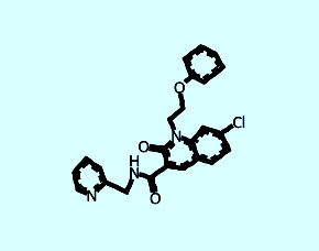 O=C(NCc1ccccn1)c1cc2ccc(Cl)cc2n(CCOc2ccccc2)c1=O